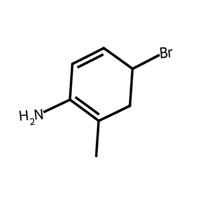 CC1=C(N)C=CC(Br)C1